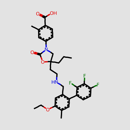 CCCC1(CCNCc2cc(OCC)c(C)cc2-c2ccc(F)c(F)c2F)CN(c2ccc(C(=O)O)c(C)c2)C(=O)O1